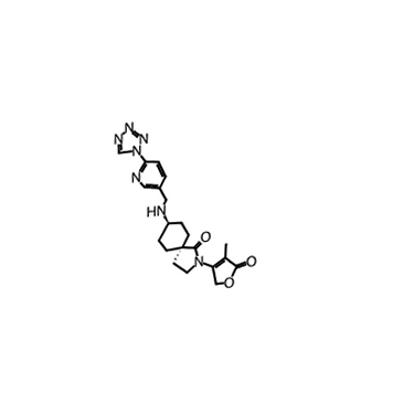 CC1=C(N2CC[C@]3(CC[C@H](NCc4ccc(-n5cnnn5)nc4)CC3)C2=O)COC1=O